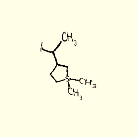 CC(I)C1CCS(C)(C)C1